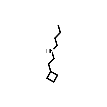 [CH2]CCCNCCC1CCC1